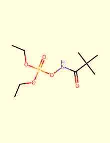 CCOP(=O)(OCC)ONC(=O)C(C)(C)C